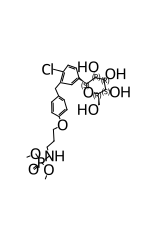 COP(=O)(NCCCOc1ccc(Cc2cc([C@@H]3O[C@H](CO)[C@@H](O)[C@H](O)[C@H]3O)ccc2Cl)cc1)OC